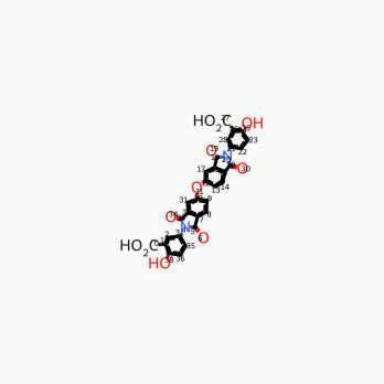 O=C(O)c1cc(N2C(=O)c3ccc(Oc4ccc5c(c4)C(=O)N(c4ccc(O)c(C(=O)O)c4)C5=O)cc3C2=O)ccc1O